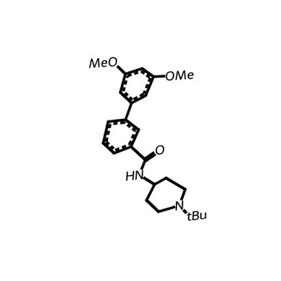 COc1cc(OC)cc(-c2cccc(C(=O)NC3CCN(C(C)(C)C)CC3)c2)c1